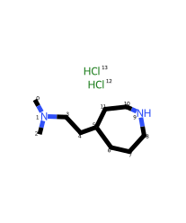 CN(C)CCC1CCCNCC1.Cl.Cl